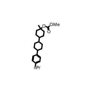 CCCc1ccc(C2CCC(C3CCC(C)(OC(=O)OC)CC3)CC2)cc1